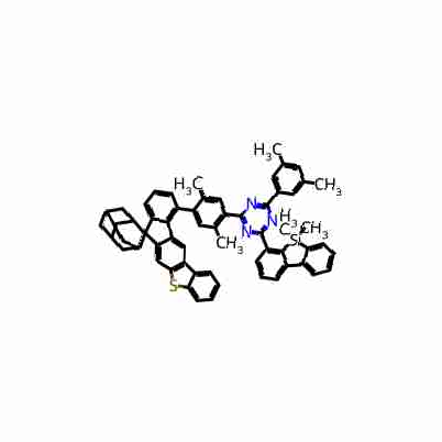 Cc1cc(C)cc(-c2nc(-c3cc(C)c(-c4cccc5c4-c4cc6c(cc4C54C5CC7CC(C5)CC4C7)sc4ccccc46)cc3C)nc(-c3cccc4c3[Si](C)(C)c3ccccc3-4)n2)c1